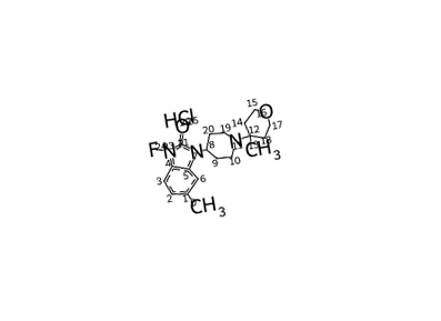 Cc1ccc2c(c1)n(C1CCN(C3(C)CCOCC3)CC1)c(=O)n2F.Cl